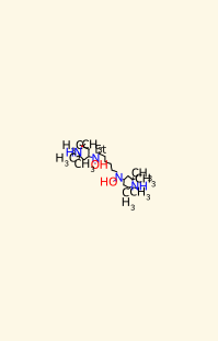 CCC(CCCCCN(O)C1CC(C)(C)NC(C)(C)C1)N(O)C1CC(C)(C)NC(C)(C)C1